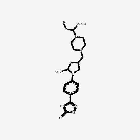 CCOC(=O)C(OCC)N1CCN(CC2CN(c3ccc(-c4noc(=O)[nH]4)cc3)C(C=O)O2)CC1